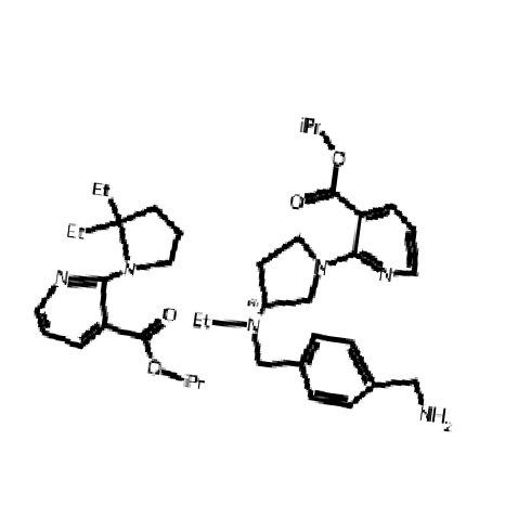 CCC1(CC)CCCN1c1ncccc1C(=O)OC(C)C.CCN(Cc1ccc(CN)cc1)[C@@H]1CCN(c2ncccc2C(=O)OC(C)C)C1